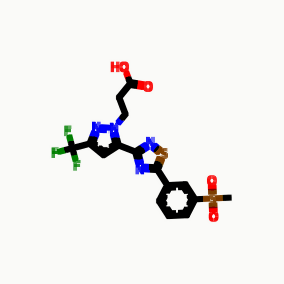 CS(=O)(=O)c1cccc(-c2nc(-c3cc(C(F)(F)F)nn3CCC(=O)O)ns2)c1